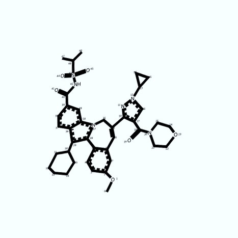 COc1ccc2c(c1)C=C(c1nn(C3CC3)cc1C(=O)N1CCOCC1)Cn1c-2c(C2CCCCC2)c2ccc(C(=O)NS(=O)(=O)C(C)C)cc21